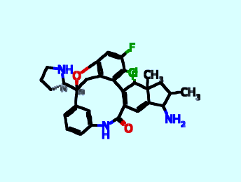 CC1CC2(C)C(=CC3=C(c4c(Cl)c(F)cc5c4C[C@]([C@@H]4CCCN4)(O5)c4cccc(c4)NC3=O)C2F)C1N